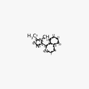 Cc1nnc(-c2nccc3ccccc23)n1C